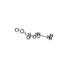 Clc1ccc(C=Cc2nc(COc3ccc(CCCCn4cncn4)nn3)co2)cc1